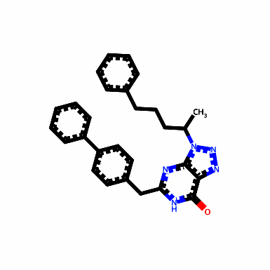 CC(CCCc1ccccc1)n1nnc2c(=O)[nH]c(Cc3ccc(-c4ccccc4)cc3)nc21